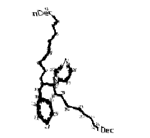 CCCCCCCCCCCCCCCCCCC(Cc1ccccc1)C(CCCCCCCCCCCCCCCCC)n1ccnc1